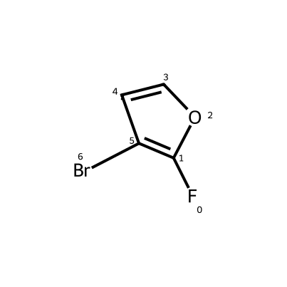 Fc1oc[c]c1Br